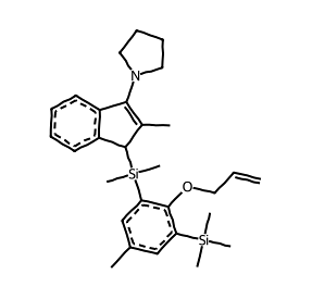 C=CCOc1c([Si](C)(C)C)cc(C)cc1[Si](C)(C)C1C(C)=C(N2CCCC2)c2ccccc21